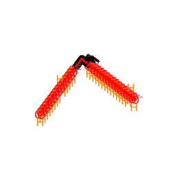 C=C=C.O=[PH]([O-])[O-].O=[PH]([O-])[O-].O=[PH]([O-])[O-].O=[PH]([O-])[O-].O=[PH]([O-])[O-].O=[PH]([O-])[O-].O=[PH]([O-])[O-].O=[PH]([O-])[O-].O=[PH]([O-])[O-].O=[PH]([O-])[O-].O=[PH]([O-])[O-].O=[PH]([O-])[O-].O=[PH]([O-])[O-].O=[PH]([O-])[O-].O=[PH]([O-])[O-].O=[PH]([O-])[O-].O=[PH]([O-])[O-].O=[PH]([O-])[O-].O=[PH]([O-])[O-].O=[PH]([O-])[O-].O=[PH]([O-])[O-].O=[PH]([O-])[O-].O=[PH]([O-])[O-].O=[PH]([O-])[O-].O=[PH]([O-])[O-].O=[PH]([O-])[O-].O=[PH]([O-])[O-].O=[PH]([O-])[O-].O=[PH]([O-])[O-].O=[PH]([O-])[O-].[C+4].[C+4].[C+4].[C+4].[C+4].[C+4].[C+4].[C+4].[C+4].[C+4].[C+4].[C+4].[C+4].[C+4].[C+4]